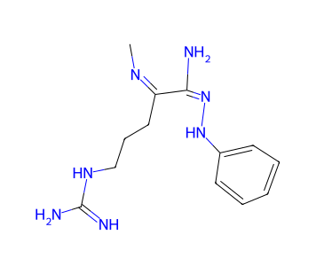 C/N=C(CCCNC(=N)N)\C(N)=N/Nc1ccccc1